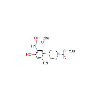 CC(C)(C)OC(=O)N1CCC(c2cc(NC(O)OC(C)(C)C)c(O)cc2C#N)CC1